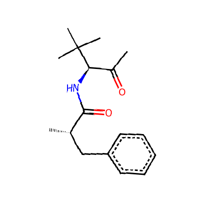 CC(=O)[C@@H](NC(=O)[C@@H](C)Cc1ccccc1)C(C)(C)C